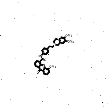 COc1cc2c(cc1OC)CN(CCc1ccc(NC(=O)c3cccc4c(=O)c5cccc(OC)c5sc34)cc1)CC2